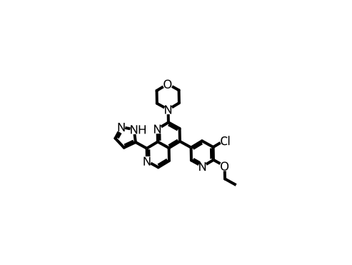 CCOc1ncc(-c2cc(N3CCOCC3)nc3c(-c4ccn[nH]4)nccc23)cc1Cl